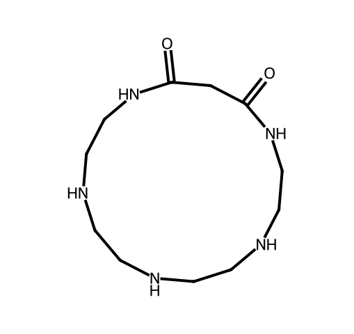 O=C1CC(=O)NCCNCCNCCNCCN1